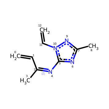 C=C/C(C)=N\c1nc(C)nn1C=C